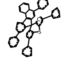 C1=CC2C(c3ccccc3)=CC3=C(c4ccc(-c5ccccc5)cc4C34c3ccc(-c5ccccc5)cc3Sc3cc(-c5ccccc5)ccc34)C2C=C1